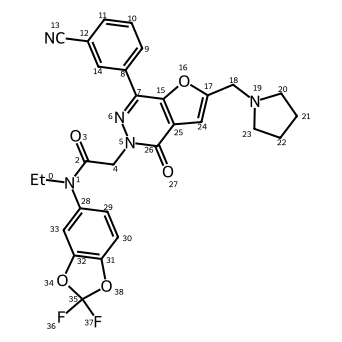 CCN(C(=O)Cn1nc(-c2cccc(C#N)c2)c2oc(CN3CCCC3)cc2c1=O)c1ccc2c(c1)OC(F)(F)O2